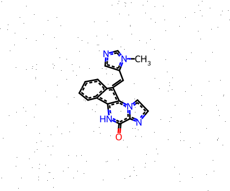 Cn1cncc1C=c1c2ccccc2c2[nH]c(=O)c3nccn3c12